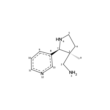 C[C@@]1(CN)CCN[C@@H]1c1cccnc1